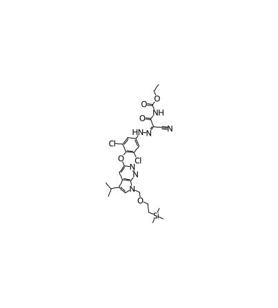 CCOC(=O)NC(=O)C(C#N)=NNc1cc(Cl)c(Oc2cc3c(C(C)C)cn(COCC[Si](C)(C)C)c3nn2)c(Cl)c1